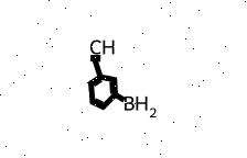 Bc1cccc(C#C)c1